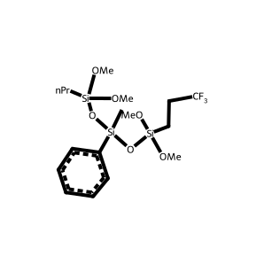 CCC[Si](OC)(OC)O[Si](C)(O[Si](CCC(F)(F)F)(OC)OC)c1ccccc1